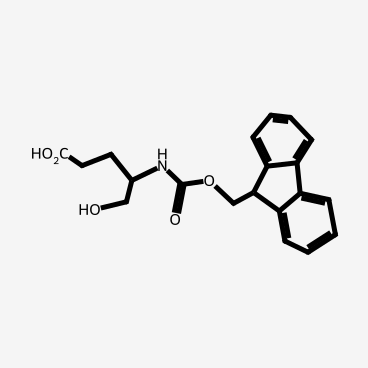 O=C(O)CCC(CO)NC(=O)OCC1c2ccccc2-c2ccccc21